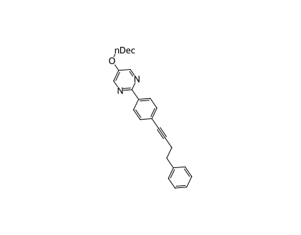 CCCCCCCCCCOc1cnc(-c2ccc(C#CCCc3ccccc3)cc2)nc1